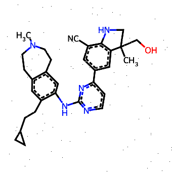 CN1CCc2cc(CCC3CC3)c(Nc3nccc(-c4cc(C#N)c5c(c4)C(C)(CO)CN5)n3)cc2CC1